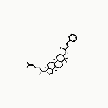 CC(C)=CCC[C@@H](C)[C@H]1CC[C@@]2(C)C3=C(CC[C@]12C)[C@@]1(C)CCC(OC(=O)C=Cc2ccccc2)C(C)(C)C1CC3